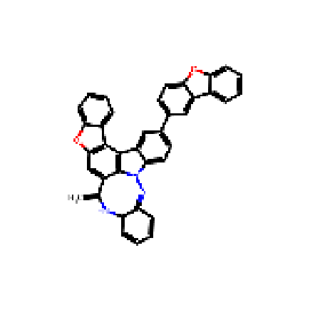 C=C1NC2C=CC=C/C2=N/n2c3ccc(-c4ccc5oc6ccccc6c5c4)cc3c3c4c(cc1c32)oc1ccccc14